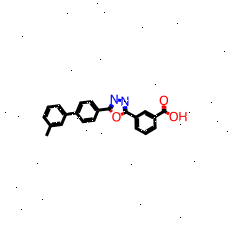 Cc1cccc(-c2ccc(-c3nnc(-c4cccc(C(=O)O)c4)o3)cc2)c1